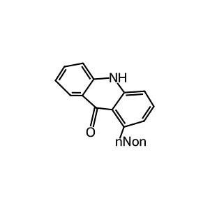 CCCCCCCCCc1cccc2[nH]c3ccccc3c(=O)c12